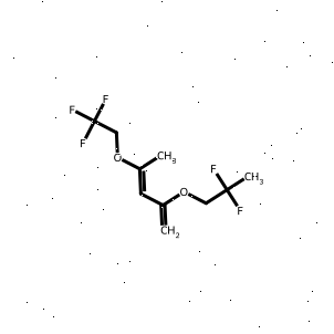 C=C(/C=C(\C)OCC(F)(F)F)OCC(C)(F)F